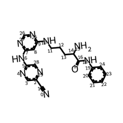 N#Cc1cnc(Nc2cc(NCCCC(N)C(=O)Nc3ccccc3)ncn2)cn1